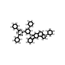 c1ccc(-c2cc(-c3nc(-c4ccccc4)nc(-c4ccccc4)n3)cc(-n3c4ccccc4c4cc5c(ccc6c5ccn6-c5ccccc5)cc43)c2)cc1